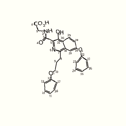 O=C(O)CNC(=O)c1nc(CCCOc2ccccc2)c2cc(Oc3ccccc3)ccc2c1O